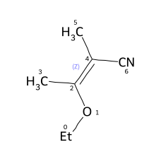 CCO/C(C)=C(/C)C#N